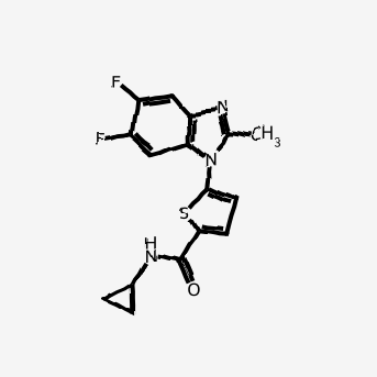 Cc1nc2cc(F)c(F)cc2n1-c1ccc(C(=O)NC2CC2)s1